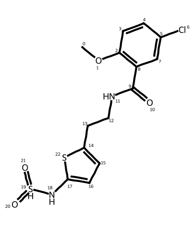 COc1ccc(Cl)cc1C(=O)NCCc1ccc(N[SH](=O)=O)s1